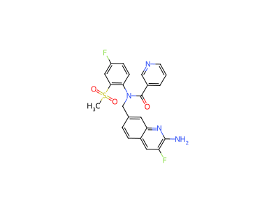 CS(=O)(=O)c1cc(F)ccc1N(Cc1ccc2cc(F)c(N)nc2c1)C(=O)c1cccnc1